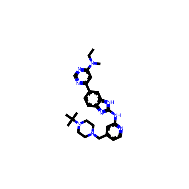 CCN(C)c1cc(-c2ccc3nc(Nc4cc(CN5CCN(C(C)(C)C)CC5)ccn4)[nH]c3c2)ncn1